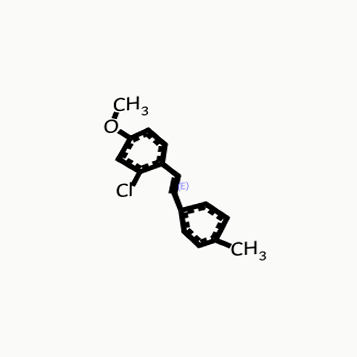 COc1ccc(/C=C/c2ccc(C)cc2)c(Cl)c1